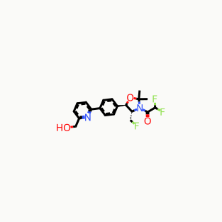 CC1(C)O[C@H](c2ccc(-c3cccc(CO)n3)cc2)[C@@H](CF)N1C(=O)C(F)F